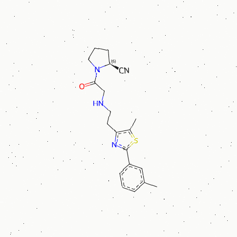 Cc1cccc(-c2nc(CCNCC(=O)N3CCC[C@H]3C#N)c(C)s2)c1